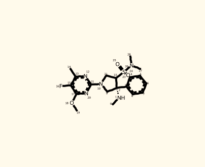 CN[C@]1(c2ccccc2)CN(c2nc(C)c(F)c(OC)n2)CC1S(=O)(=O)N(C)C